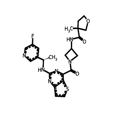 C[C@H](Nc1nc(C(=O)N2CC(NC(=O)C3(C)CCOC3)C2)c2sccc2n1)c1cncc(F)c1